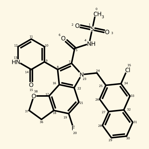 CS(=O)(=O)NC(=O)c1c(-c2ccc[nH]c2=O)c2c3c(c(F)cc2n1Cc1cc2ccccc2cc1Cl)CCO3